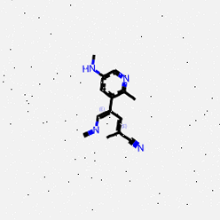 C=N/C=C(\C=C(/C)C#N)c1cc(NC)cnc1C